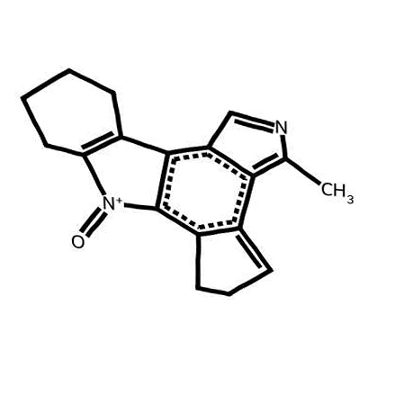 CC1=c2c(c3c(c4c2=CCC4)[N+](=O)C2=C3CCCC2)C=N1